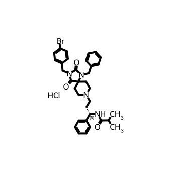 CC(C)C(=O)N[C@@H](CCN1CCC2(CC1)C(=O)N(Cc1ccc(Br)cc1)C(=O)N2Cc1ccccc1)c1ccccc1.Cl